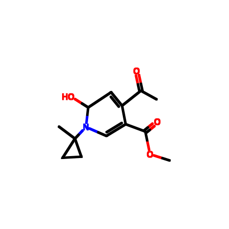 COC(=O)C1=CN(C2(C)CC2)C(O)C=C1C(C)=O